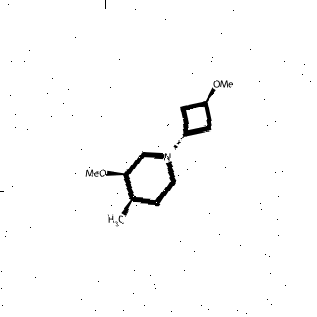 CO[C@H]1CN([C@H]2C[C@H](OC)C2)CC[C@H]1C